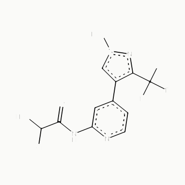 CC(C)C(=O)Nc1cc(-c2cn(C)nc2C(F)(F)F)ccn1